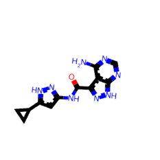 Nc1ncnc2[nH]nc(C(=O)Nc3cc(C4CC4)[nH]n3)c12